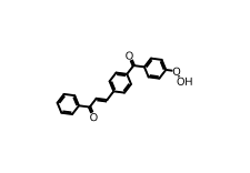 O=C(/C=C/c1ccc(C(=O)c2ccc(OO)cc2)cc1)c1ccccc1